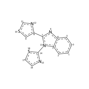 c1ccc2c(c1)nc(-c1cscn1)n2-c1nccs1